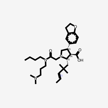 C/C=C/C(C)(C)C[C@H]1[C@H](C(=O)O)[C@@H](c2ccc3c(c2)CCO3)CN1CC(=O)N(CCCC)CCCN(C)C